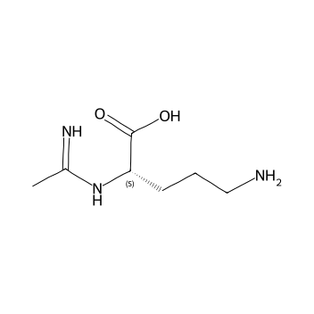 CC(=N)N[C@@H](CCCN)C(=O)O